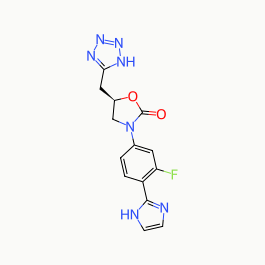 O=C1O[C@H](Cc2nnn[nH]2)CN1c1ccc(-c2ncc[nH]2)c(F)c1